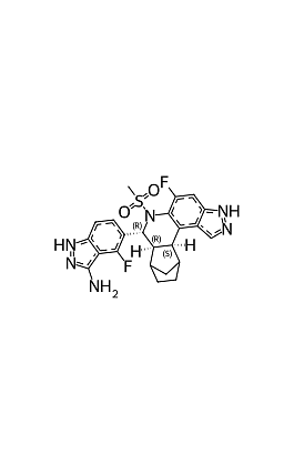 CS(=O)(=O)N1c2c(F)cc3[nH]ncc3c2[C@H]2C3CCC(C3)[C@H]2[C@@H]1c1ccc2[nH]nc(N)c2c1F